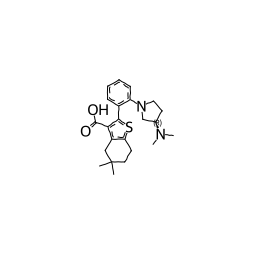 CN(C)[C@@H]1CCN(c2ccccc2-c2sc3c(c2C(=O)O)CC(C)(C)CC3)C1